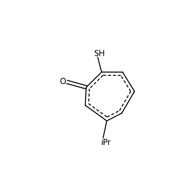 CC(C)c1cccc(S)c(=O)c1